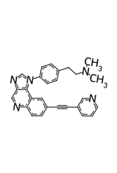 CN(C)CCc1ccc(-n2cnc3cnc4ccc(C#Cc5cccnc5)cc4c32)cc1